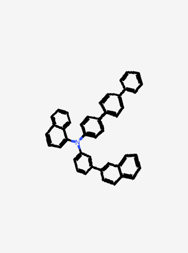 c1ccc(-c2ccc(-c3ccc(N(c4cccc(-c5ccc6ccccc6c5)c4)c4cccc5ccccc45)cc3)cc2)cc1